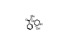 CC(C)(C)OC(=O)N1C=CC=CC1.O[C@@H]1CNCCN1